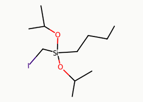 CCCC[Si](CI)(OC(C)C)OC(C)C